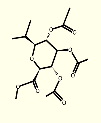 COC(=O)[C@H]1O[C@@H](C(C)C)[C@H](OC(C)=O)[C@@H](OC(C)=O)[C@@H]1OC(C)=O